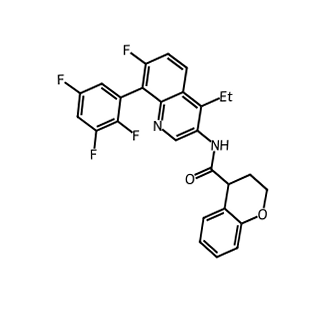 CCc1c(NC(=O)C2CCOc3ccccc32)cnc2c(-c3cc(F)cc(F)c3F)c(F)ccc12